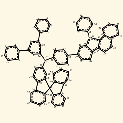 c1ccc(-c2cc(-c3ccccc3)cc(N(c3ccc(-c4ccc5c6ccc7ccccc7c6n(-c6ccccc6)c5c4)cc3)c3ccc4c(c3)C3(c5ccccc5-c5ccccc53)c3ccccc3-4)c2)cc1